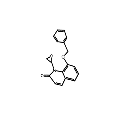 O=c1ccc2cccc(OCc3ccccc3)c2n1C1CO1